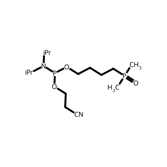 CC(C)N(C(C)C)P(OCCC#N)OCCCCP(C)(C)=O